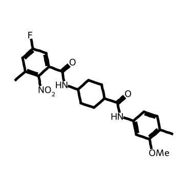 COc1cc(NC(=O)C2CCC(NC(=O)c3cc(F)cc(C)c3[N+](=O)[O-])CC2)ccc1C